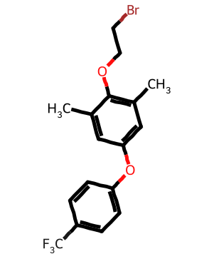 Cc1cc(Oc2ccc(C(F)(F)F)cc2)cc(C)c1OCCBr